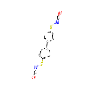 O=C=NSc1ccc(-c2ccc(SN=C=O)cc2)cc1